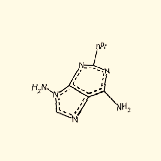 CCCc1nc(N)c2ncn(N)c2n1